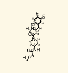 CCC(=O)NC1CCN(C(=O)CC(N)Cc2cc(F)c(F)cc2F)CC1